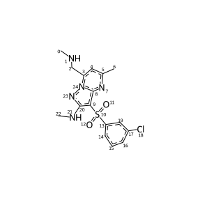 CNCc1cc(C)nc2c(S(=O)(=O)c3cccc(Cl)c3)c(NC)nn12